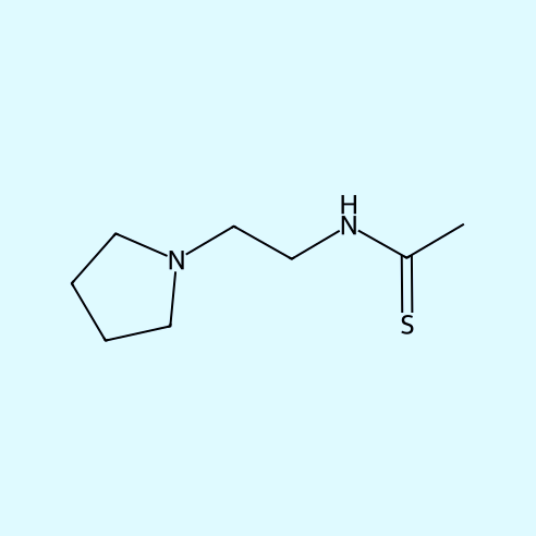 CC(=S)NCCN1CCCC1